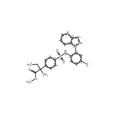 CCC(C)(C(=O)OC)c1ccc(S(=O)(=O)Nc2ccc(Cl)cc2-n2nnc3ncccc32)cc1